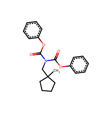 CC1(CN(C(=O)Oc2ccccc2)C(=O)Oc2ccccc2)CCCC1